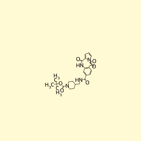 CC(C)(C)OC(=O)N1CCC(CNC(=O)c2ccc3c(c2)NC(=O)c2cccn2S3(=O)=O)CC1